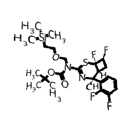 CC(C)(C)OC(=O)N(COCC[Si](C)(C)C)C1=N[C@](C)(c2cccc(F)c2F)[C@@H]2C[C@H](F)[C@]2(F)S1